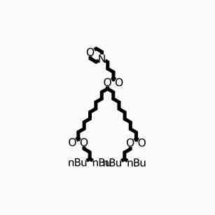 CCCCC(CCCC)CCOC(=O)CCCCCCCCCC(CCCCCCCCCC(=O)OCCC(CCCC)CCCC)OC(=O)CCCN1CCOCC1